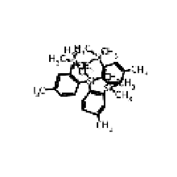 Cc1ccc([Si](Cl)(c2ccc(C)cc2[Si](C)(C)C)c2ccc(C)cc2[Si](C)(C)C)c([Si](C)(C)C)c1